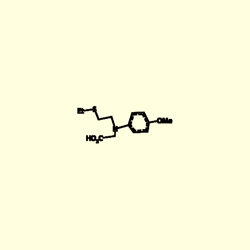 CCSCCN(CC(=O)O)c1ccc(OC)cc1